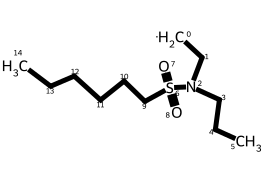 [CH2]CN(CCC)S(=O)(=O)CCCCCC